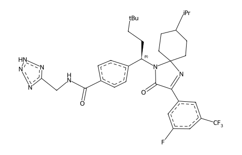 CC(C)C1CCC2(CC1)N=C(c1cc(F)cc(C(F)(F)F)c1)C(=O)N2[C@H](CCC(C)(C)C)c1ccc(C(=O)NCc2nn[nH]n2)cc1